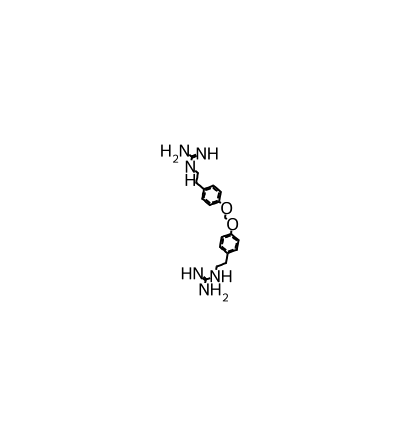 N=C(N)NCCc1ccc(OCOc2ccc(CCNC(=N)N)cc2)cc1